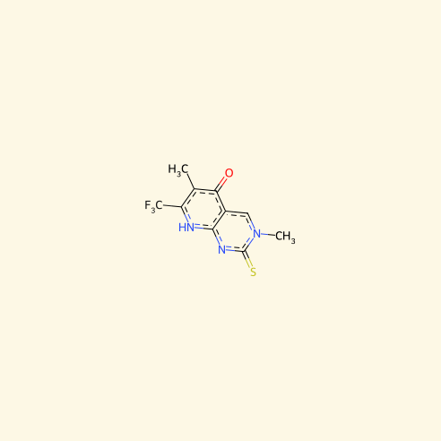 Cc1c(C(F)(F)F)[nH]c2nc(=S)n(C)cc2c1=O